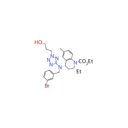 CCOC(=O)N1c2ccc(C)cc2[C@@H](N(Cc2cccc(Br)c2)c2nnn(CCCO)n2)C[C@H]1CC